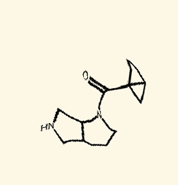 O=C(N1CCC2CNCC21)C12CC1C2